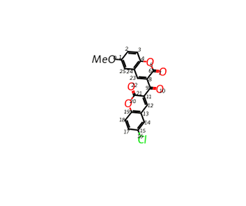 COc1ccc2oc(=O)c(C(=O)c3cc4cc(Cl)ccc4oc3=O)cc2c1